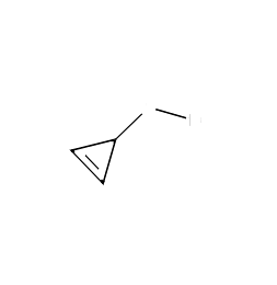 CCSC1C=C1